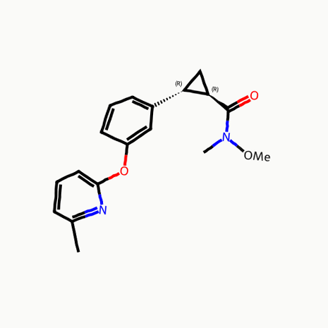 CON(C)C(=O)[C@@H]1C[C@H]1c1cccc(Oc2cccc(C)n2)c1